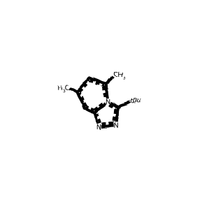 Cc1cc(C)n2c(C(C)(C)C)nnc2c1